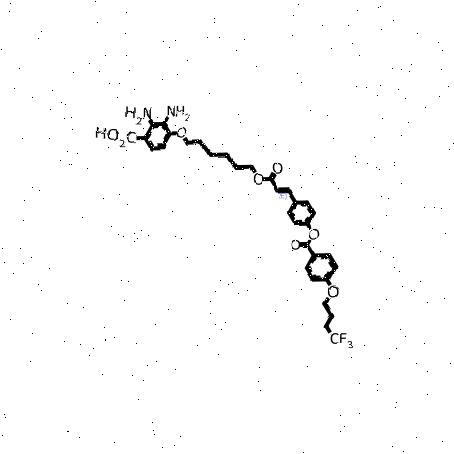 Nc1c(OCCCCCCOC(=O)/C=C/c2ccc(OC(=O)c3ccc(OCCCC(F)(F)F)cc3)cc2)ccc(C(=O)O)c1N